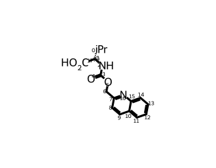 CC(C)[C@H](NC(=O)OCc1ccc2ccccc2n1)C(=O)O